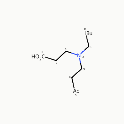 CCC(C)CN(CCC(C)=O)CCC(=O)O